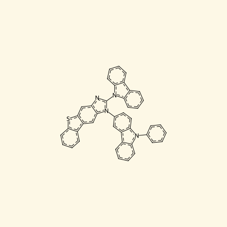 c1ccc(-n2c3ccccc3c3cc(-n4c(-n5c6ccccc6c6ccccc65)nc5cc6sc7ccccc7c6cc54)ccc32)cc1